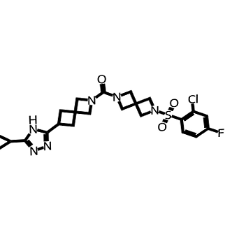 O=C(N1CC2(CC(c3nnc(C4CC4)[nH]3)C2)C1)N1CC2(C1)CN(S(=O)(=O)c1ccc(F)cc1Cl)C2